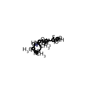 Cc1cc2cc(n1)-c1cnn(C)c1OCCC[C@@H](C)CN1/C(=N/C2=O)Nc2ccc(C(=O)N(C)[C@@H]3CCN(CCc4cc(F)c([C@H]5CCC(=O)NC5=O)c(F)c4)C[C@H]3F)cc21